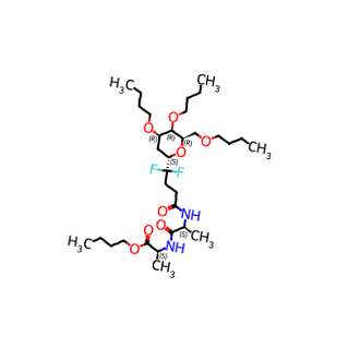 CCCCOC[C@H]1O[C@H](C(F)(F)CCC(=O)N[C@@H](C)C(=O)N[C@@H](C)C(=O)OCCCC)C[C@@H](OCCCC)[C@H]1OCCCC